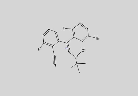 CC(C)(C)[S+]([O-])/N=C(\c1cc(Br)ccc1F)c1cccc(F)c1C#N